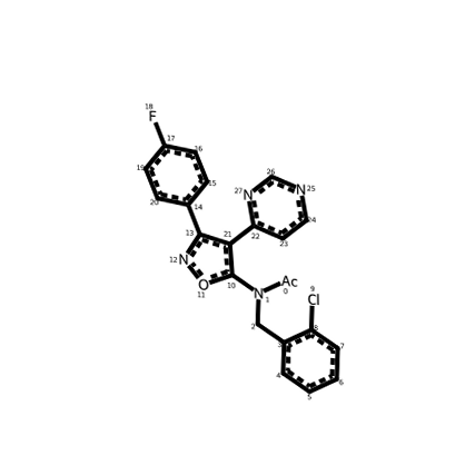 CC(=O)N(Cc1ccccc1Cl)c1onc(-c2ccc(F)cc2)c1-c1ccncn1